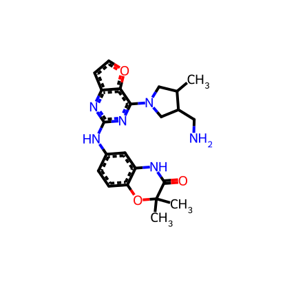 CC1CN(c2nc(Nc3ccc4c(c3)NC(=O)C(C)(C)O4)nc3ccoc23)CC1CN